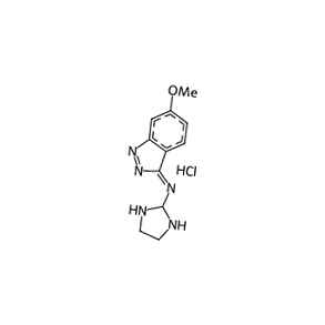 COc1ccc2c(c1)N=NC2=NC1NCCN1.Cl